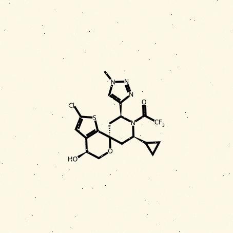 Cn1cc([C@@H]2C[C@]3(C[C@H](C4CC4)N2C(=O)C(F)(F)F)OC[C@@H](O)c2cc(Cl)sc23)nn1